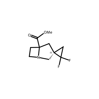 COC(=O)C12CCN1C[C@]1(C2)CC1(F)F